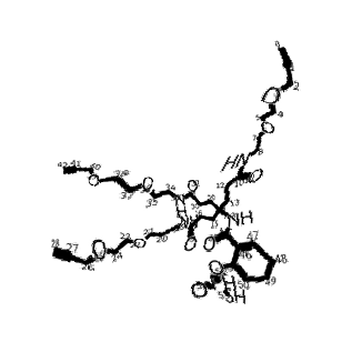 C#CCOCCOCCNC(=O)CCC(CCC(=O)NCCOCCOCC#C)(CCC(=O)NCCOCCOCC#C)NC(=O)c1ccccc1O[PH](=O)S